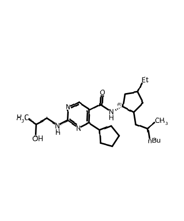 CCCCC(C)CC1CC(CC)C[C@H]1NC(=O)c1cnc(NCC(C)O)nc1C1CCCC1